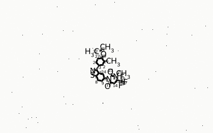 Cc1cc(-c2nsc3ccc(-n4c(=O)cc(C(F)(F)F)n(C)c4=O)cc23)ccc1OC(C)C